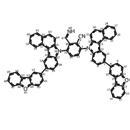 N#Cc1c(-n2c3ccc(-c4ccc5oc6ccccc6c5c4)cc3c3c4ccccc4ccc32)ccc(-n2c3ccc(-c4ccc5oc6ccccc6c5c4)cc3c3c4ccccc4ccc32)c1C=N